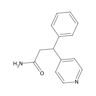 NC(=O)CC(c1ccccc1)c1ccncc1